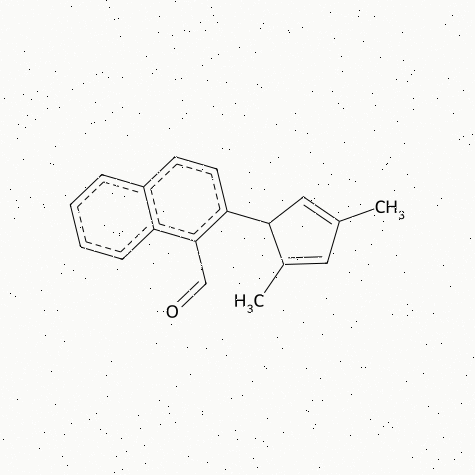 CC1=CC(c2ccc3ccccc3c2C=O)C(C)=C1